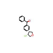 C1CCOC1.F.O=C(c1ccccc1)c1ccccc1